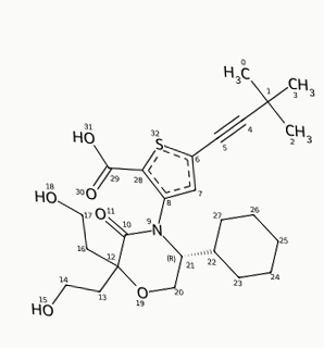 CC(C)(C)C#Cc1cc(N2C(=O)C(CCO)(CCO)OC[C@H]2C2CCCCC2)c(C(=O)O)s1